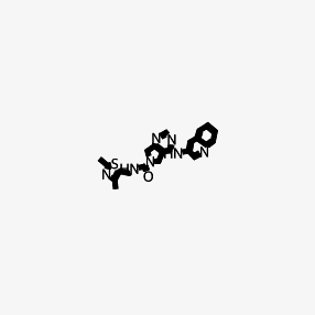 Cc1nc(C)c(CNC(=O)N2Cc3ncnc(Nc4cnc5ccccc5c4)c3C2)s1